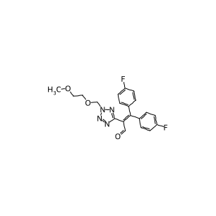 COCCOCn1nnc(C(C=O)=C(c2ccc(F)cc2)c2ccc(F)cc2)n1